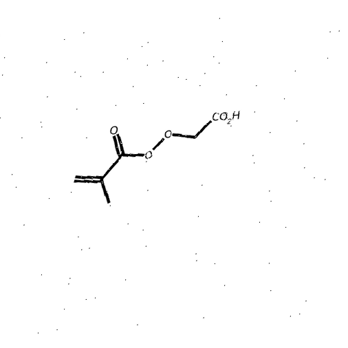 C=C(C)C(=O)OOCC(=O)O